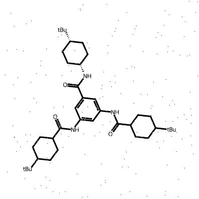 CC(C)(C)C1CCC(C(=O)Nc2cc(NC(=O)C3CCC(C(C)(C)C)CC3)cc(C(=O)N[C@H]3CC[C@@H](C(C)(C)C)CC3)c2)CC1